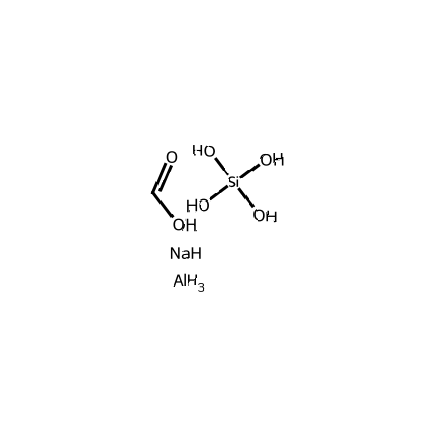 O=CO.O[Si](O)(O)O.[AlH3].[NaH]